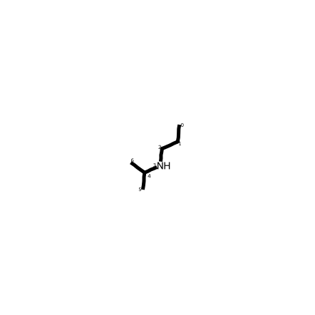 CCCNC(C)C